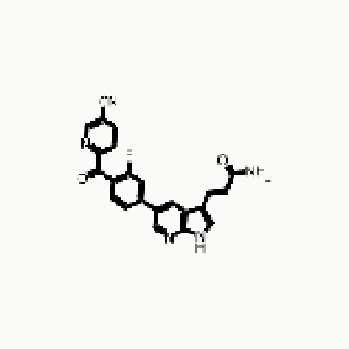 N#Cc1ccc(C(=O)c2ccc(-c3cnc4[nH]cc(/C=C/C(N)=O)c4c3)cc2F)nc1